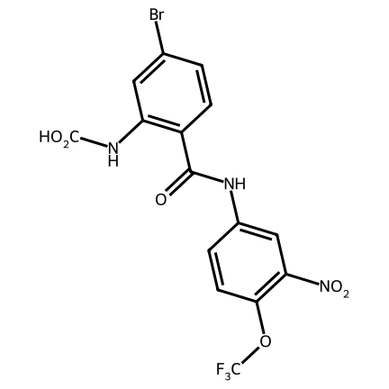 O=C(O)Nc1cc(Br)ccc1C(=O)Nc1ccc(OC(F)(F)F)c([N+](=O)[O-])c1